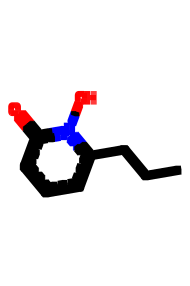 CCCc1cccc(=O)n1O